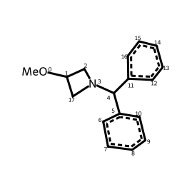 COC1CN(C(c2ccccc2)c2ccccc2)C1